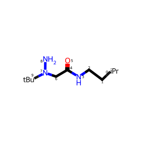 CC(C)CCNC(=O)CN(N)C(C)(C)C